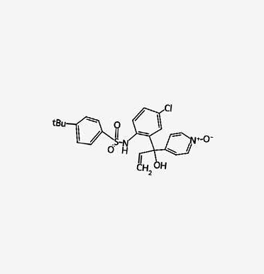 C=CC(O)(c1cc[n+]([O-])cc1)c1cc(Cl)ccc1NS(=O)(=O)c1ccc(C(C)(C)C)cc1